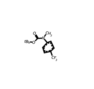 CN(C(=O)OC(C)(C)C)c1ccc(C(F)(F)F)cc1